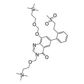 C[Si](C)(C)CCOCOc1cc(-c2ccccc2CCS(C)(=O)=O)cc2c(=O)n(COCC[Si](C)(C)C)cnc12